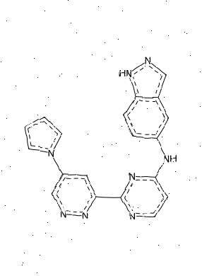 c1ccn(-c2cnnc(-c3nccc(Nc4ccc5[nH]ncc5c4)n3)c2)c1